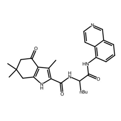 CCCCC(NC(=O)c1[nH]c2c(c1C)C(=O)CC(C)(C)C2)C(=O)Nc1cccc2cnccc12